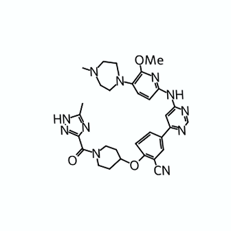 COc1nc(Nc2cc(-c3ccc(OC4CCN(C(=O)c5n[nH]c(C)n5)CC4)c(C#N)c3)ncn2)ccc1N1CCN(C)CC1